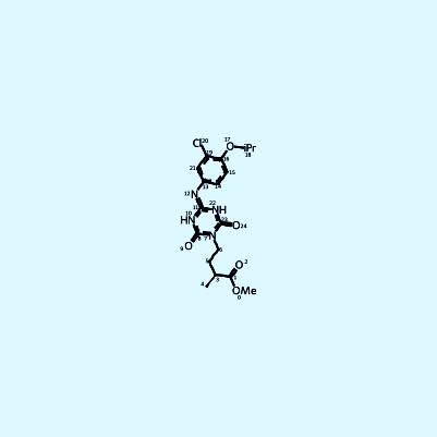 COC(=O)[C@@H](C)CCn1c(=O)[nH]c(=Nc2ccc(OC(C)C)c(Cl)c2)[nH]c1=O